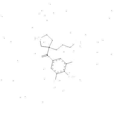 CCCCC1(C(=O)c2cc(F)c(O)c(Cl)c2)CCNC1